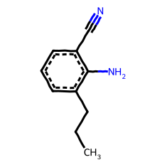 CCCc1cccc(C#N)c1N